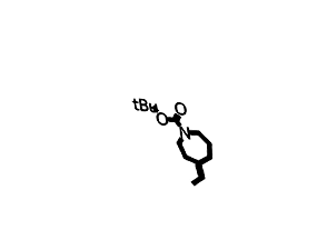 CC=C1CCCN(C(=O)OC(C)(C)C)CC1